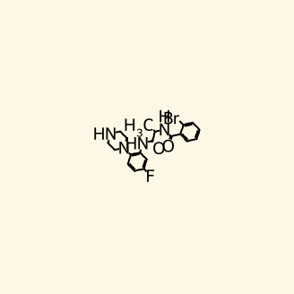 CC(NC(=O)c1ccccc1Br)C(=O)Nc1cc(F)ccc1N1CCNCC1